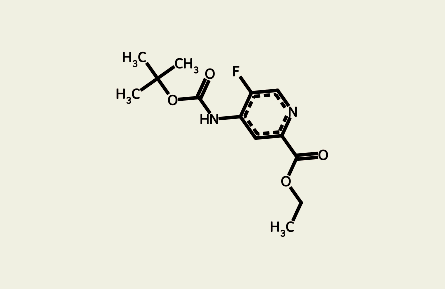 CCOC(=O)c1cc(NC(=O)OC(C)(C)C)c(F)cn1